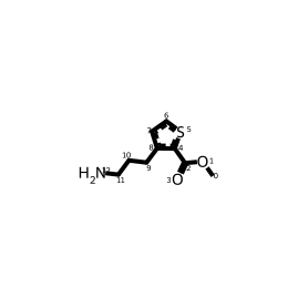 COC(=O)c1sccc1CCCN